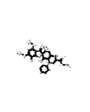 COC(=O)C1=C[C@@H](c2ccccc2)C2=C(C[C@@H](C)[C@]3(Oc4c(Cl)c(OC)cc(OC)c4C3=O)C2=O)N1